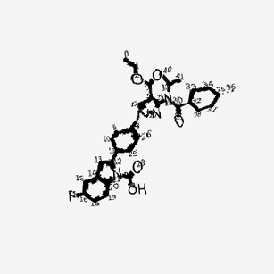 CCOC(=O)c1cn(-c2ccc(-c3cc4cc(F)ccc4n3C(=O)O)cc2)nc1N(C(=O)[C@H]1CC[C@H](C)CC1)C(C)C